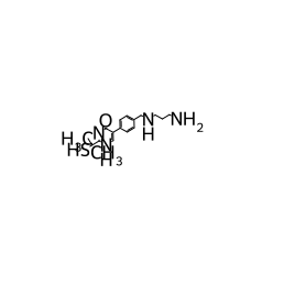 CC(C)(S)c1nc(=O)c(-c2ccc(CNCCCN)cc2)c[nH]1